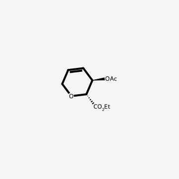 CCOC(=O)[C@@H]1OCC=C[C@H]1OC(C)=O